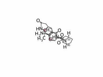 CC(C)(N)c1ccc(S(=O)(=O)N2[C@@H]3CC[C@H]2C[C@H](NC(=O)c2cc4c(cc2Cl)NC(=O)C4)C3)cc1